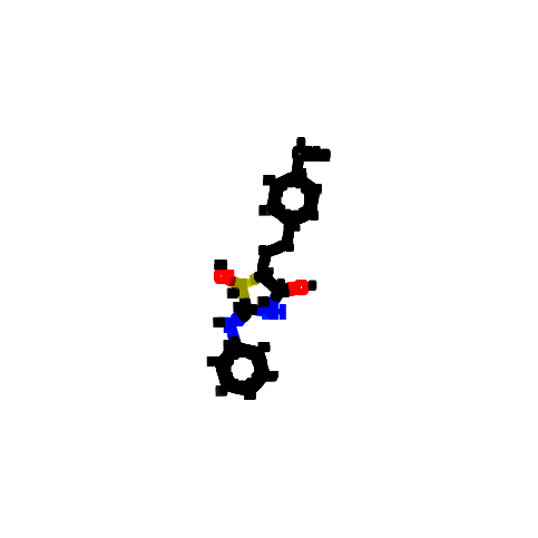 COc1ccc(CCC2C(=O)N/C(=N\c3ccccc3)[S+]2[O-])cc1